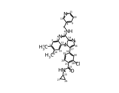 Cc1cc2nc(NCc3cccnc3)c3ncc(-c4ccc(C(=O)NC5CC5)c(Cl)c4)n3c2cc1C